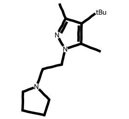 Cc1nn(CCN2CCCC2)c(C)c1C(C)(C)C